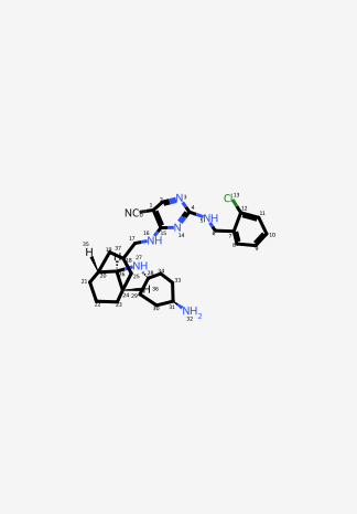 N#Cc1cnc(NCc2ccccc2Cl)nc1NCC1C[C@H]2CCC[C@@H](C1)[C@@H]2N[C@H]1CC[C@H](N)CC1